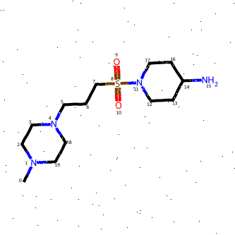 CN1CCN(CCCS(=O)(=O)N2CCC(N)CC2)CC1